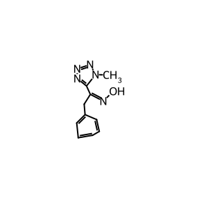 Cn1nnnc1C(Cc1ccccc1)=NO